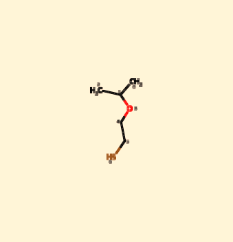 CC(C)OCCS